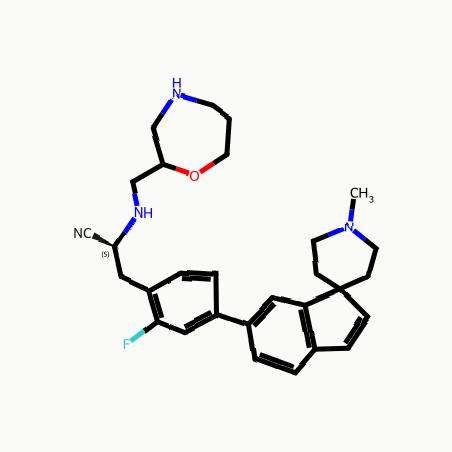 CN1CCC2(C=Cc3ccc(-c4ccc(C[C@@H](C#N)NCC5CNCCCO5)c(F)c4)cc32)CC1